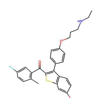 CCNCCCOc1ccc(-c2c(C(=O)c3cc(F)ccc3C)sc3cc(O)ccc23)cc1